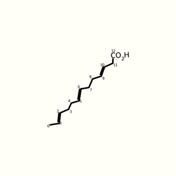 CC=CCCC=CCCC=CCC(=O)O